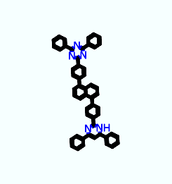 C1=C(c2ccccc2)N=C(c2ccc(-c3cccc4c(-c5ccc(-c6nc(-c7ccccc7)nc(-c7ccccc7)n6)cc5)cccc34)cc2)NC1c1ccccc1